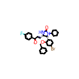 O=C(/C=C/[C@@H]1NC(=O)N(c2ccccc2)[C@@H]1c1ccc(Br)cc1OCc1ccccc1)c1ccc(F)cc1